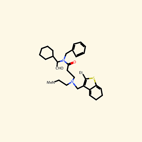 CCc1sc2c(c1CN(CCNC)CCC(=O)N(Cc1ccccc1)C(C=O)C1CCCCC1)=CCCC=2